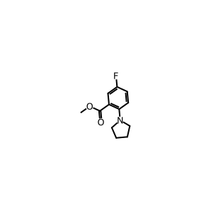 COC(=O)c1cc(F)ccc1N1CCCC1